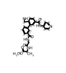 COC(=O)C(C)NC(=O)CNC(=O)c1cccc(-c2cc(C(=O)Nc3ccncc3)ccc2CN)c1